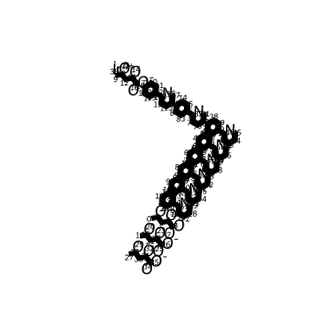 CC(=O)CC(=O)C(=O)[O-].CC(=O)CC(=O)C(=O)[O-].CC(=O)CC(=O)C(=O)[O-].CC(=O)CC(=O)C(=O)[O-].[Ir+4].c1ccc(-c2ccccn2)cc1.c1ccc(-c2ccccn2)cc1.c1ccc(-c2ccccn2)cc1.c1ccc(-c2ccccn2)cc1.c1ccc(-c2ccccn2)cc1.c1ccc(-c2ccccn2)cc1.c1ccc(-c2ccccn2)cc1.c1ccc(-c2ccccn2)cc1